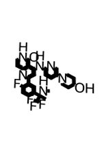 CNC(C)(c1ccc(F)c(-c2cc(Nc3ccc(N4CCC(O)CC4)cn3)c3c(=O)[nH]ccc3n2)c1)C(F)(F)F